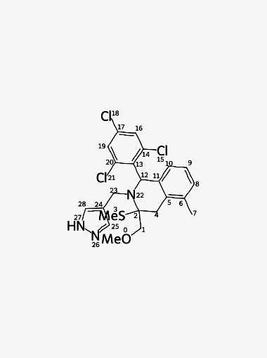 COCC1(SC)Cc2c(C)cccc2C(c2c(Cl)cc(Cl)cc2Cl)N1Cc1cn[nH]c1